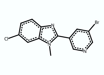 Cn1c(-c2cncc(Br)c2)nc2ccc(Cl)cc21